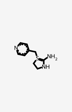 NC1=S(Cc2ccncc2)CCN1